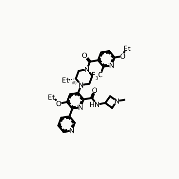 CCOc1ccc(C(=O)N2CCN(c3cc(OCC)c(-c4cccnc4)nc3C(=O)NC3CN(C)C3)[C@H](CC)C2)c(C(F)(F)F)n1